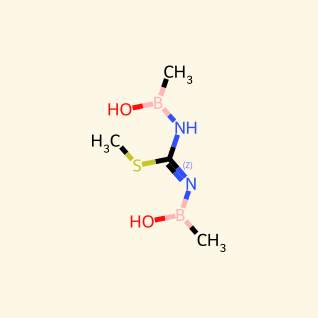 CS/C(=N\B(C)O)NB(C)O